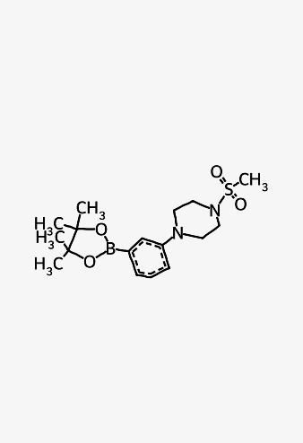 CC1(C)OB(c2cccc(N3CCN(S(C)(=O)=O)CC3)c2)OC1(C)C